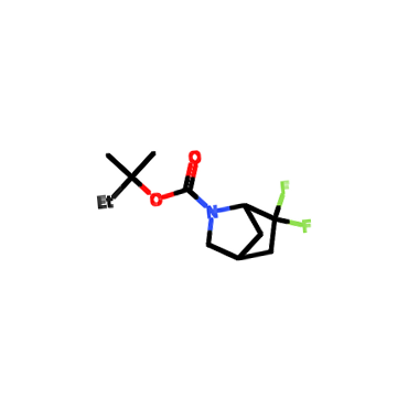 CCC(C)(C)OC(=O)N1CC2CC1C(F)(F)C2